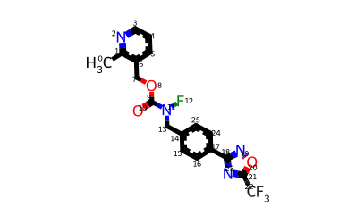 Cc1ncccc1COC(=O)N(F)Cc1ccc(-c2noc(C(F)(F)F)n2)cc1